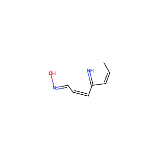 C/C=C\C(=N)/C=C\C=N\O